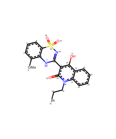 COc1cccc2c1NC(c1c(O)c3ccccc3n(CCC(C)C)c1=O)=NS2(=O)=O